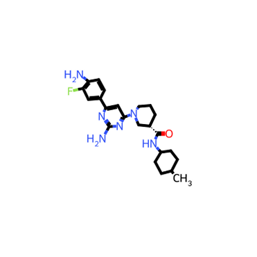 CC1CCC(NC(=O)[C@H]2CCCN(c3cc(-c4ccc(N)c(F)c4)nc(N)n3)C2)CC1